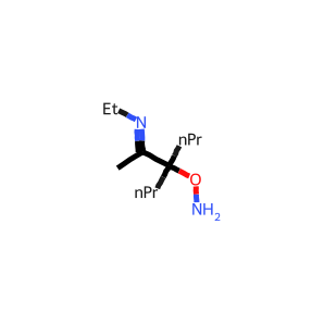 CCCC(CCC)(ON)C(C)=NCC